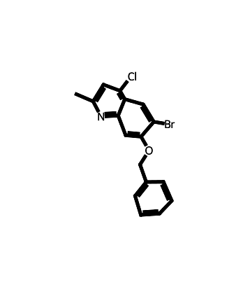 Cc1cc(Cl)c2cc(Br)c(OCc3ccccc3)cc2n1